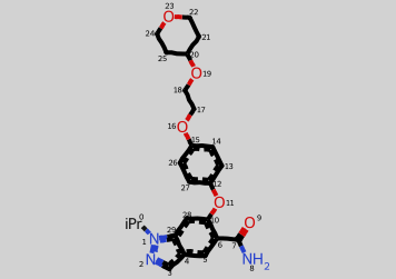 CC(C)n1ncc2cc(C(N)=O)c(Oc3ccc(OCCOC4CCOCC4)cc3)cc21